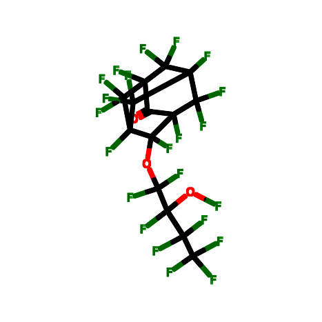 O=C1C2(F)C(F)(F)C3(F)C(F)(F)C1(F)C(F)(OC(F)(F)C(F)(OF)C(F)(F)C(F)(F)F)C(F)(C2(F)F)C3(F)F